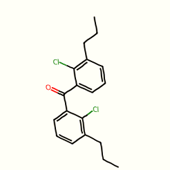 CCCc1cccc(C(=O)c2cccc(CCC)c2Cl)c1Cl